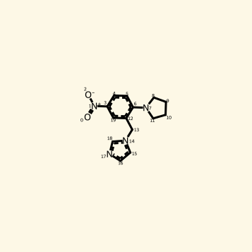 O=[N+]([O-])c1ccc(N2CCCC2)c(Cn2ccnc2)c1